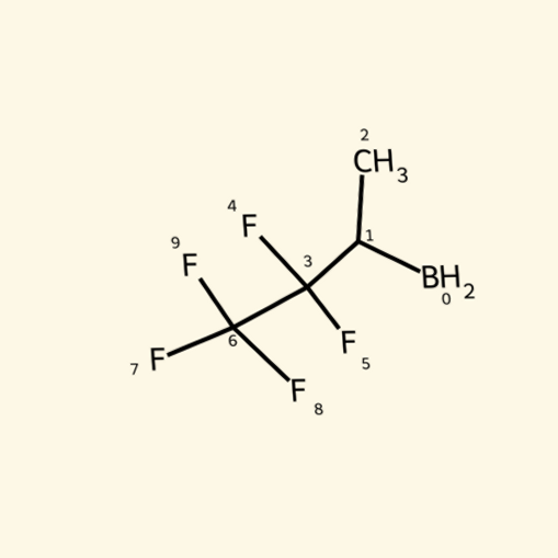 BC(C)C(F)(F)C(F)(F)F